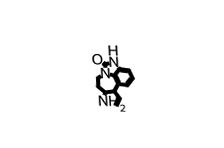 C=CC1c2cccc3[nH]c(=O)n(c23)CCC1N